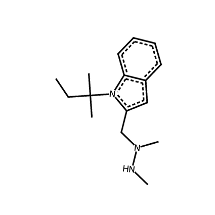 CCC(C)(C)n1c(CN(C)NC)cc2ccccc21